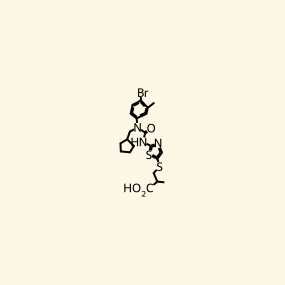 Cc1cc(N(CC2CCCC2)C(=O)Nc2ncc(SCC(C)C(=O)O)s2)ccc1Br